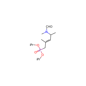 C/C(=C\C(C)N(C)C=O)CP(=O)(OC(C)C)OC(C)C